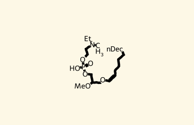 CCCCCCCCCCCCCC/C=C\OCC(COP(=O)(O)OCCN(C)CC)OC